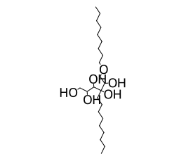 CCCCCCCCCOCC(O)C(O)(CCCCCCCCC)C(O)C(O)CO